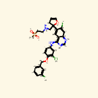 CC(C)S(=O)(=O)CCNCC1(c2cc3c(Nc4ccc(OCc5cccc(F)c5)c(Cl)c4)ncnc3cc2F)CC=CO1